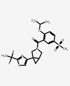 CC(Oc1ccc(S(C)(=O)=O)cc1C(=O)N1CC2CC2(c2csc(C(C)(F)F)n2)C1)C(F)(F)F